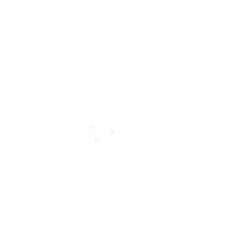 Fc1ccc(-c2nnc(SCc3ccc(F)c(Cl)c3)n2-c2ccc(I)cc2)cc1